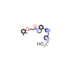 Cc1cccc(OCCCC(=O)N2CCCc3c(-c4cnn(Cc5ccc[n+](CC(=O)O)c5)c4)cccc32)c1C